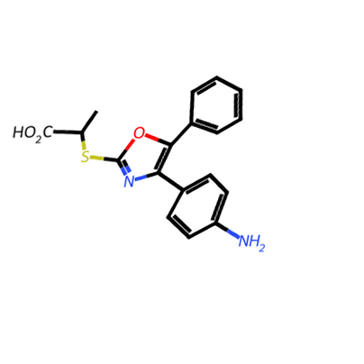 CC(Sc1nc(-c2ccc(N)cc2)c(-c2ccccc2)o1)C(=O)O